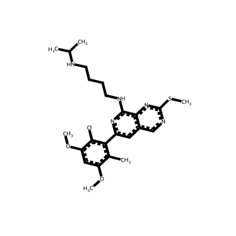 COc1cc(OC)c(Cl)c(-c2cc3cnc(SC)nc3c(NCCCCNC(C)C)n2)c1C